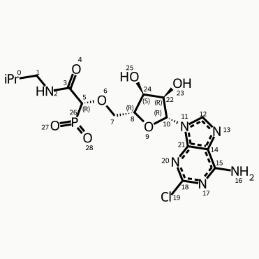 CC(C)CNC(=O)[C@H](OC[C@H]1O[C@@H](n2cnc3c(N)nc(Cl)nc32)[C@H](O)[C@@H]1O)P(=O)=O